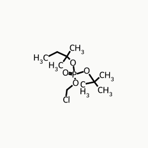 CCC(C)(C)OP(=O)(OCCl)OC(C)(C)C